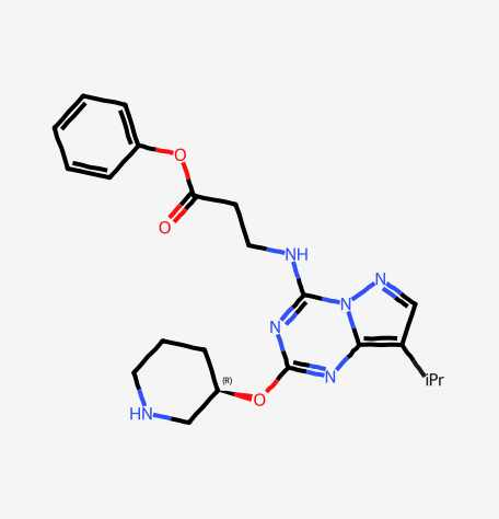 CC(C)c1cnn2c(NCCC(=O)Oc3ccccc3)nc(O[C@@H]3CCCNC3)nc12